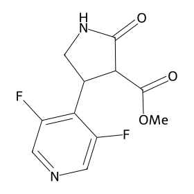 COC(=O)C1C(=O)NCC1c1c(F)cncc1F